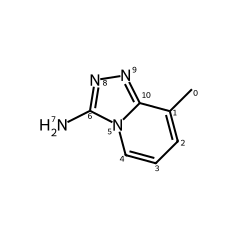 Cc1cccn2c(N)nnc12